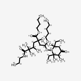 CCCCOC(=O)C(C)(CC(OCCCCO)ON1C(C)(CC)CC(=O)C(C)C1(C)CC)CC(C)C(C)(C)C(=O)NCCO